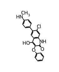 CNc1ccc(-c2cc3c(O)c(Oc4ccccc4)c(=O)[nH]c3cc2Cl)cc1